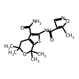 Cc1oncc1C(=O)Nc1sc2c(c1C(N)=O)CC(C)(C)OC2(C)C